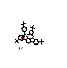 CC1C=C(C(C)(C)C)C=[C]1[Zr+2](=[C](c1ccc(C(C)(C)C)cc1)c1ccc(C(C)(C)C)cc1)[c]1c(C(C)(C)C)ccc2c1Cc1cc(C(C)(C)C)ccc1-2.[Cl-].[Cl-]